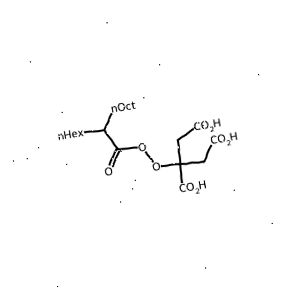 CCCCCCCCC(CCCCCC)C(=O)OOC(CC(=O)O)(CC(=O)O)C(=O)O